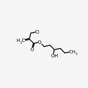 C=C(CCl)C(=O)OCCC(O)CCC